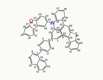 c1cc(-c2ccc(-c3cccc4ccccc34)cc2)cc(N(c2ccc3oc4ccccc4c3c2)c2ccccc2-c2ccc3c(c2)sc2ccccc23)c1